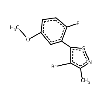 COc1ccc(F)c(-c2snc(C)c2Br)c1